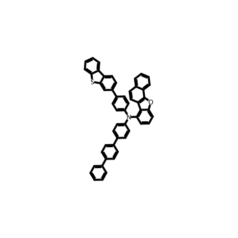 c1ccc(-c2ccc(-c3ccc(N(c4ccc(-c5ccc6c(c5)sc5ccccc56)cc4)c4cccc5oc6c7ccccc7ccc6c45)cc3)cc2)cc1